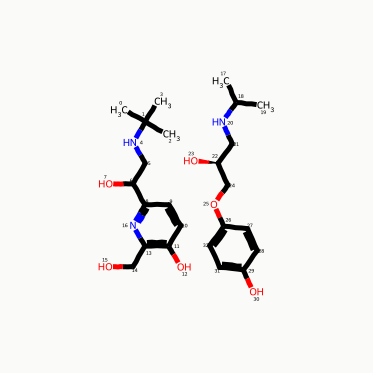 CC(C)(C)NCC(O)c1ccc(O)c(CO)n1.CC(C)NC[C@H](O)COc1ccc(O)cc1